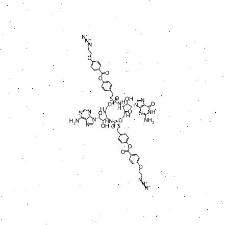 [N-]=[N+]=NCCOc1ccc(C(=O)Oc2ccc(CSP3(=O)N[C@H]4[C@@H](O)[C@H](n5cnc6c(=O)[nH]c(N)nc65)O[C@@H]4CO[P@@](=O)(SCc4ccc(OC(=O)c5ccc(OCCN=[N+]=[N-])cc5)cc4)NC4[C@@H](O)[C@H](n5cnc6c(N)ncnc65)O[C@@H]4CO3)cc2)cc1